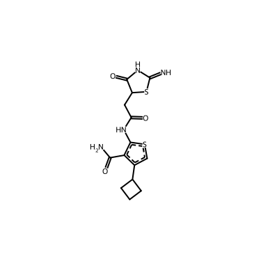 N=C1NC(=O)C(CC(=O)Nc2scc(C3CCC3)c2C(N)=O)S1